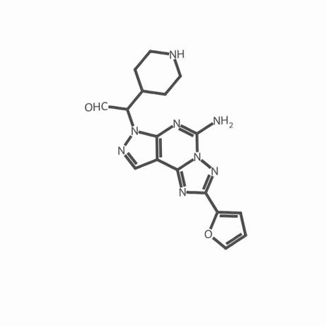 Nc1nc2c(cnn2C(C=O)C2CCNCC2)c2nc(-c3ccco3)nn12